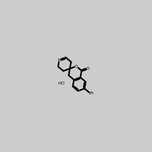 CC(C)c1ccc2c(c1)C(=O)OC1(CC=NCC1)C2.Cl